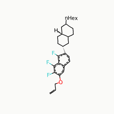 C=CCOc1cc2ccc([C@@H]3CC[C@@H]4CC(CCCCCC)CCC4C3)c(F)c2c(F)c1F